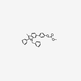 COC(=O)COc1ccc(-c2ccc3c(C)c(-c4ccccc4)n(Cc4ccccc4)c3c2)cc1